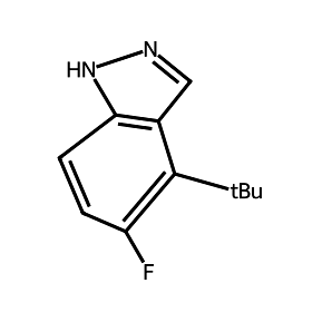 CC(C)(C)c1c(F)ccc2[nH]ncc12